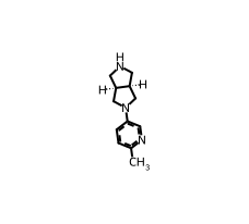 Cc1ccc(N2C[C@H]3CNC[C@H]3C2)cn1